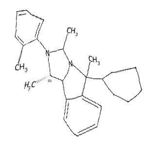 Cc1ccccc1N1C(C)N2C(c3ccccc3C2(C)C2CCCCC2)[C@@H]1C